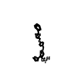 O=C(O)c1cn(Cc2ccc(OCc3csc(-c4ccccc4)n3)cc2)nc1-c1cccs1